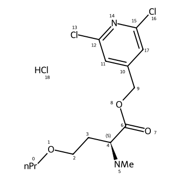 CCCOCC[C@H](NC)C(=O)OCc1cc(Cl)nc(Cl)c1.Cl